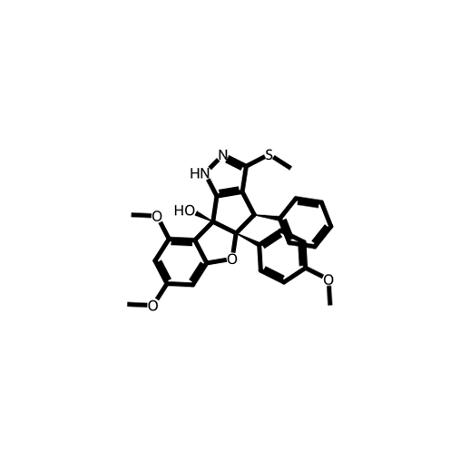 COc1ccc([C@@]23Oc4cc(OC)cc(OC)c4[C@]2(O)c2[nH]nc(SC)c2[C@H]3c2ccccc2)cc1